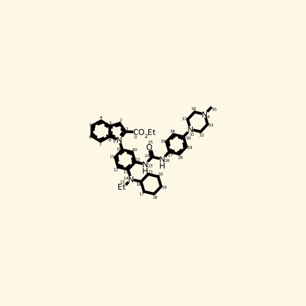 CCOC(=O)c1cc2ccccc2n1-c1ccc(N(CC)C2CCCCC2)c(NC(=O)Nc2ccc(N3CCN(C)CC3)cc2)c1